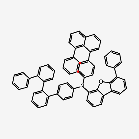 c1ccc(-c2ccccc2-c2ccccc2-c2ccc(N(c3ccc(-c4cccc5cccc(-c6ccccc6)c45)cc3)c3cccc4c3oc3c(-c5ccccc5)cccc34)cc2)cc1